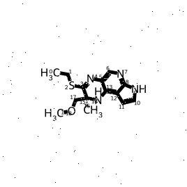 CCSC1=Nc2cnc3[nH]ccc3c2N[C@@]1(C)COC